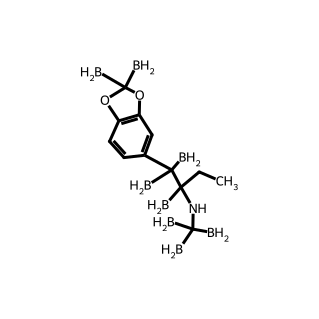 BC(B)(B)NC(B)(CC)C(B)(B)c1ccc2c(c1)OC(B)(B)O2